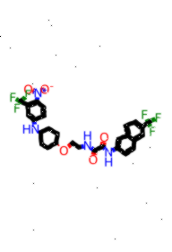 O=C(NCCO[C@H]1CC[C@H](Nc2ccc([N+](=O)[O-])c(C(F)(F)F)c2)CC1)C(=O)Nc1ccc2cc(C(F)(F)F)ccc2c1